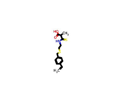 C=Cc1ccc(CSCCNC(=S)C(C)C(=O)O)cc1